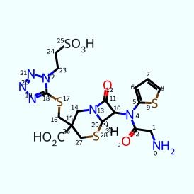 NCC(=O)N(c1cccs1)C1C(=O)N2CC(CSc3nnnn3CCS(=O)(=O)O)(C(=O)O)CS[C@H]12